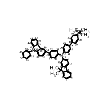 CC1(C)c2ccccc2-c2ccc(N(c3ccc(-c4ccc([Si](C)(C)C)cc4)cc3)c3ccc(-c4ccc5c(c4)c4ccccc4n5-c4ccccc4)cc3)cc21